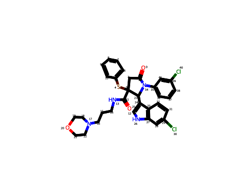 O=C1CC(Sc2ccccc2)(C(=O)NCCCN2CCOCC2)C(c2c[nH]c3cc(Cl)ccc23)N1c1cccc(Cl)c1